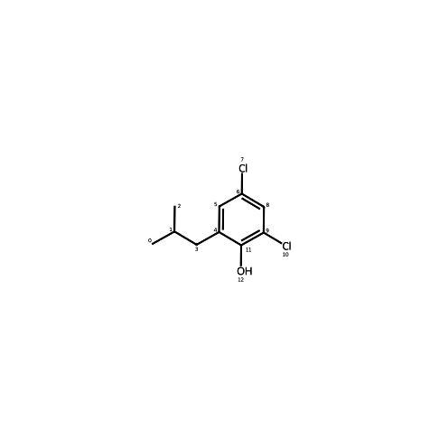 CC(C)Cc1cc(Cl)cc(Cl)c1O